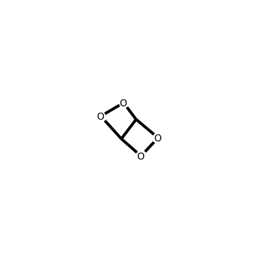 O1OC2OOC12